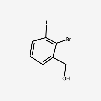 OCc1cccc(I)c1Br